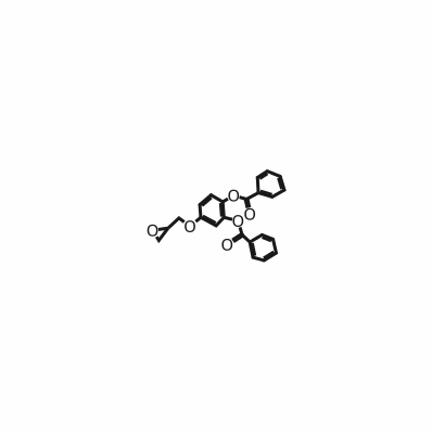 O=C(Oc1ccc(OCC2CO2)cc1OC(=O)c1ccccc1)c1ccccc1